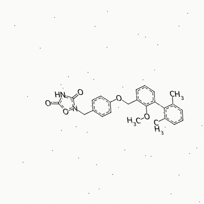 COc1c(COc2ccc(Cn3oc(=O)[nH]c3=O)cc2)cccc1-c1c(C)cccc1C